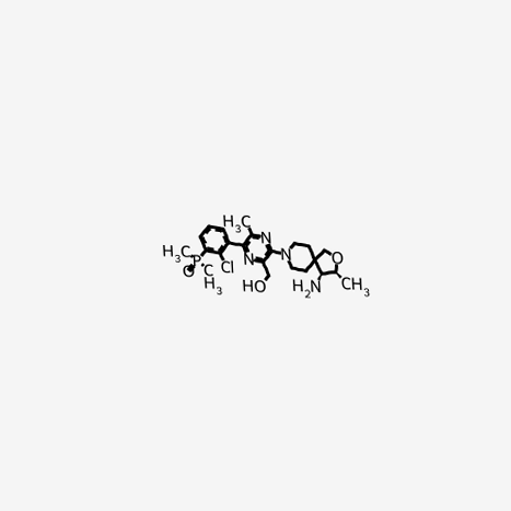 Cc1nc(N2CCC3(CC2)CO[C@@H](C)[C@H]3N)c(CO)nc1-c1cccc(P(C)(C)=O)c1Cl